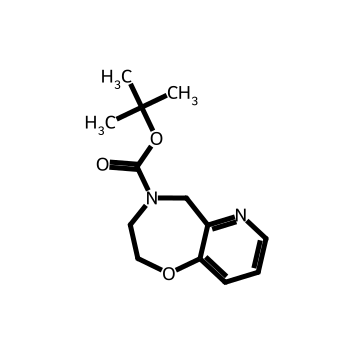 CC(C)(C)OC(=O)N1CCOc2cccnc2C1